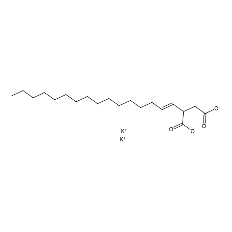 CCCCCCCCCCCCCCC=CC(CC(=O)[O-])C(=O)[O-].[K+].[K+]